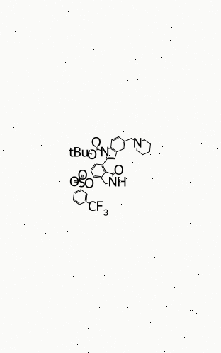 CC(C)(C)OC(=O)n1c(-c2ccc(OS(=O)(=O)c3cccc(C(F)(F)F)c3)c3c2C(=O)NC3)cc2cc(CN3CCCCC3)ccc21